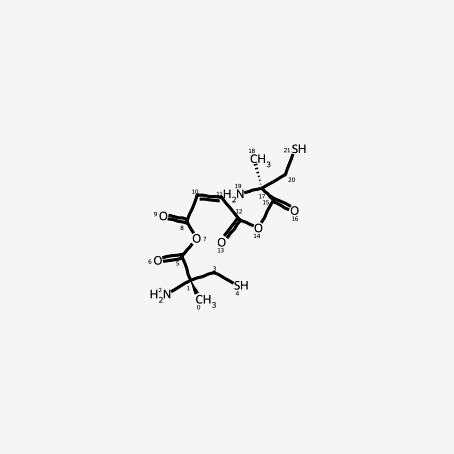 C[C@](N)(CS)C(=O)OC(=O)/C=C\C(=O)OC(=O)[C@@](C)(N)CS